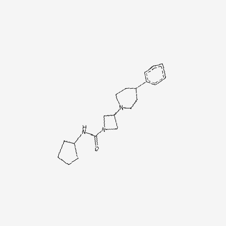 O=C(NC1CCCC1)N1CC(N2CCC(c3ccccc3)CC2)C1